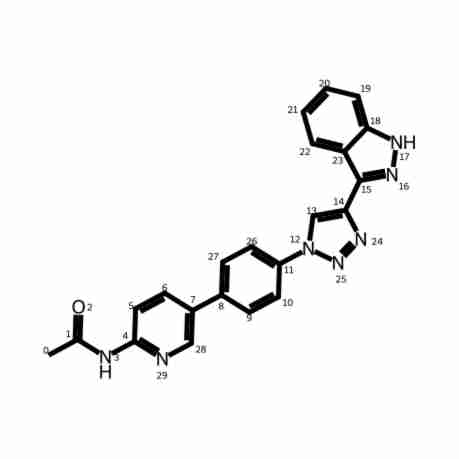 CC(=O)Nc1ccc(-c2ccc(-n3cc(-c4n[nH]c5ccccc45)nn3)cc2)cn1